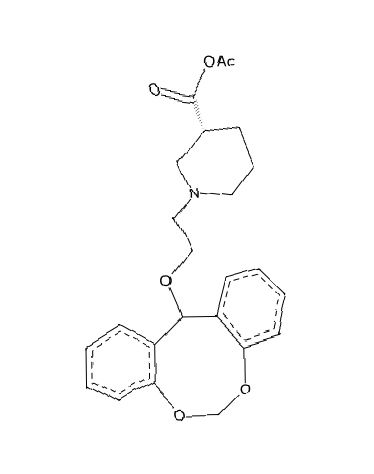 CC(=O)OC(=O)[C@@H]1CCCN(CCOC2c3ccccc3OCOc3ccccc32)C1